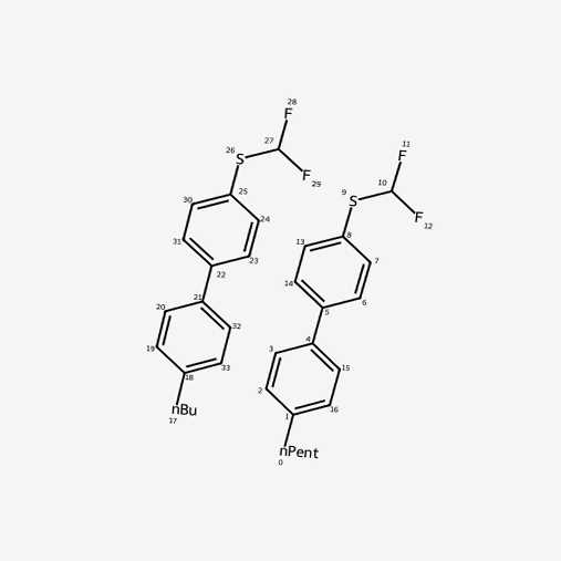 CCCCCc1ccc(-c2ccc(SC(F)F)cc2)cc1.CCCCc1ccc(-c2ccc(SC(F)F)cc2)cc1